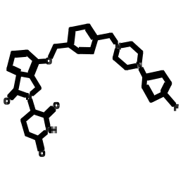 O=C1CCC(N2Cc3c(OCc4ccc(CN5CCN(c6ccc(F)cc6)CC5)cc4)cccc3C2=O)C(=O)N1